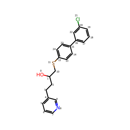 OC(CCc1cccnc1)CSc1ccc(-c2cccc(Cl)c2)cc1